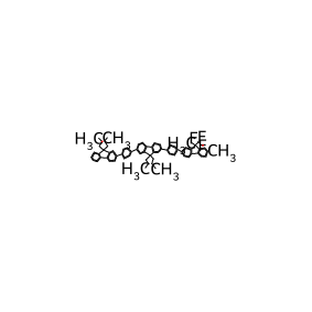 CCCC1(CCC)c2ccccc2-c2ccc(-c3ccc(-c4ccc5c(c4)C(CCC)(CCC)c4cc(-c6ccc(-c7ccc8c(c7)C(C)(C(F)(F)F)c7cc(C)ccc7-8)cc6)ccc4-5)cc3)cc21